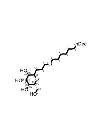 CCCCCCCCCCCCCCCCOCCC[C]1O[C@H](CO)[C@H](O)[C@H](O)[C@H]1O